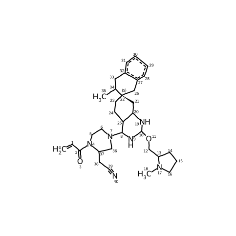 C=CC(=O)N1CCN(C2NC(OCC3CCCN3C)NC3C[C@]4(CCC32)Cc2ccccc2CC4C)CC1CC#N